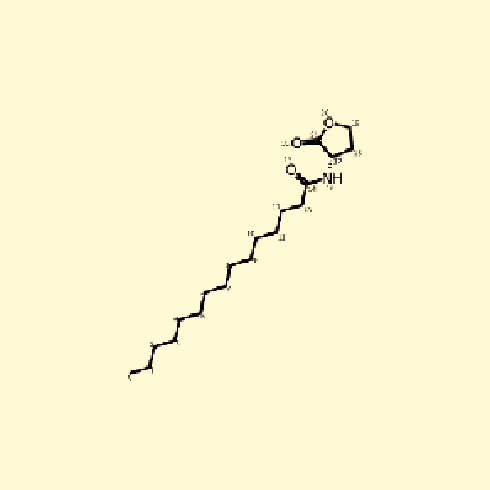 CCCCCCCCCCCCCCC(=O)N[C@H]1CCOC1=O